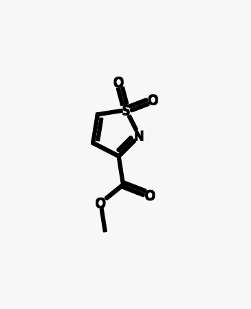 COC(=O)C1=NS(=O)(=O)C=C1